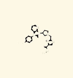 Cc1ccc(-n2c(=O)n(C3CCN(Cc4ncc(C(=O)OC(C)(C)C)n4C)C3)c3ncccc32)cc1